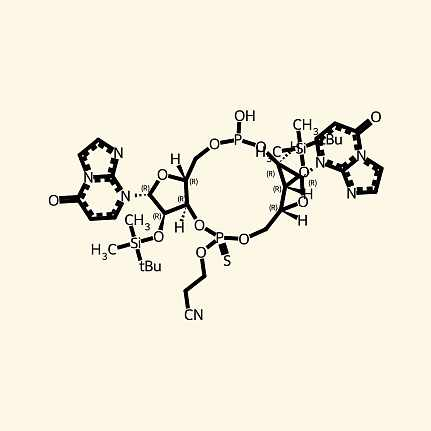 CC(C)(C)[Si](C)(C)O[C@@H]1[C@@H]2OP(=S)(OCCC#N)OC[C@H]3O[C@@H](n4ccc(=O)n5ccnc45)[C@H](OP(O)OC[C@H]2O[C@H]1n1ccc(=O)n2ccnc12)[C@@H]3O[Si](C)(C)C(C)(C)C